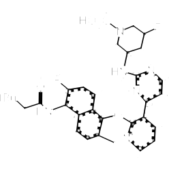 Cc1ccc2c(NC(=O)CC(C)(C)C)c(F)ccc2c1Oc1ncccc1-c1ccnc(NC2CC(F)CN(C(=O)O)C2)n1